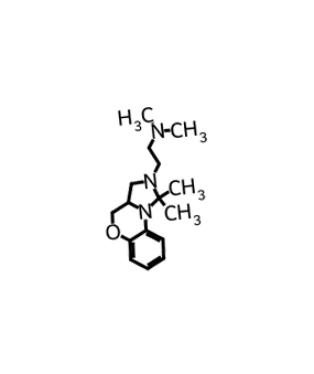 CN(C)CCN1CC2COc3ccccc3N2C1(C)C